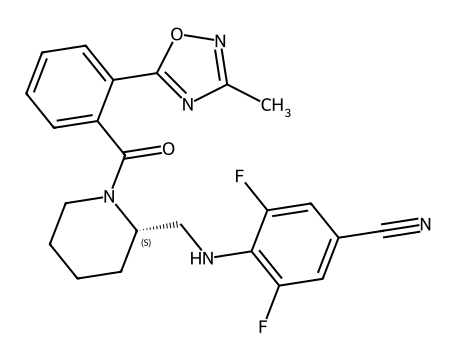 Cc1noc(-c2ccccc2C(=O)N2CCCC[C@H]2CNc2c(F)cc(C#N)cc2F)n1